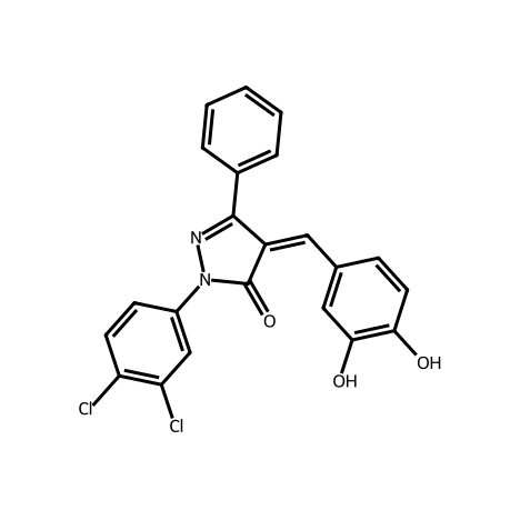 O=C1C(=Cc2ccc(O)c(O)c2)C(c2ccccc2)=NN1c1ccc(Cl)c(Cl)c1